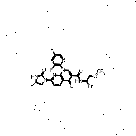 CCC(COC(F)(F)F)NC(=O)c1cn(-c2ncc(F)cc2F)c2nc(N3C[C@@H](C)NC3=O)ccc2c1=O